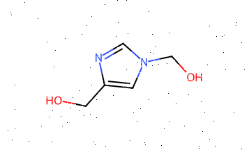 OCc1cn(CO)cn1